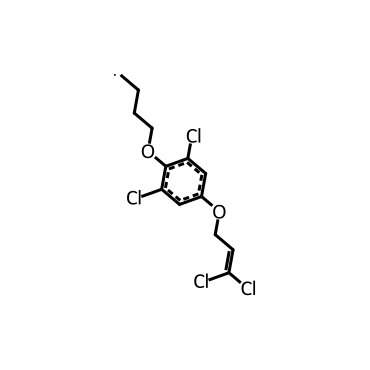 [CH2]CCCOc1c(Cl)cc(OCC=C(Cl)Cl)cc1Cl